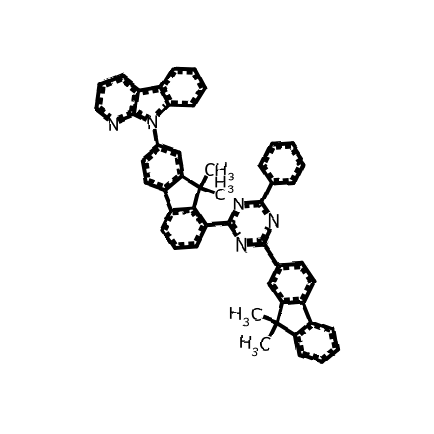 CC1(C)c2ccccc2-c2ccc(-c3nc(-c4ccccc4)nc(-c4cccc5c4C(C)(C)c4cc(-n6c7ccccc7c7cccnc76)ccc4-5)n3)cc21